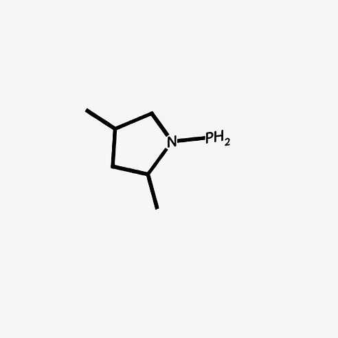 CC1CC(C)N(P)C1